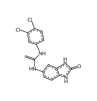 C=C(Nc1ccc(Cl)c(Cl)c1)Nc1ccc2[nH]c(=O)[nH]c2c1